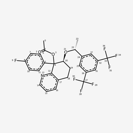 CC(=O)OC1(c2ccc(F)cc2)c2ncccc2CC[C@@H]1O[C@H](C)c1cc(C(F)(F)F)cc(C(F)(F)F)c1